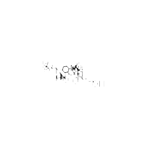 CS(=O)(=O)OCCNc1ccc([N+](=O)[O-])c(CC(OS(C)(=O)=O)C(=O)NCCCCO)c1[N+](=O)[O-]